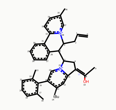 C=CCC1C(C2C/C(=C(\C)O)c3cc(C(C)(C)C)c(-c4c(C)cccc4C)c[n+]32)c2ccccc2-c2ccc(C)c[n+]21